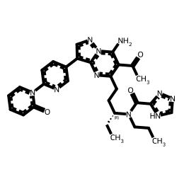 CCCN(C(=O)c1nnc[nH]1)[C@H](CC)CCc1nc2c(-c3ccc(-n4ccccc4=O)nc3)cnn2c(N)c1C(C)=O